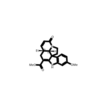 CC[C@]12C=CC(=O)N3CCC4(C(=C(C(=O)OC)C1)Nc1cc(OC)ccc14)[C@@H]32